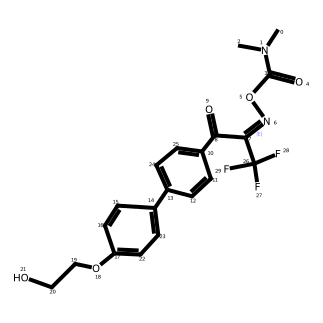 CN(C)C(=O)O/N=C(\C(=O)c1ccc(-c2ccc(OCCO)cc2)cc1)C(F)(F)F